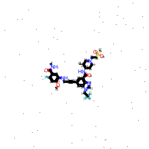 CNC(=O)c1cc(NCC#Cc2cc(C(=O)N[C@H]3CCN(CCS(C)(=O)=O)C[C@@H]3C)c3ncn(CC(F)(F)F)c3c2)c(OC)cc1F